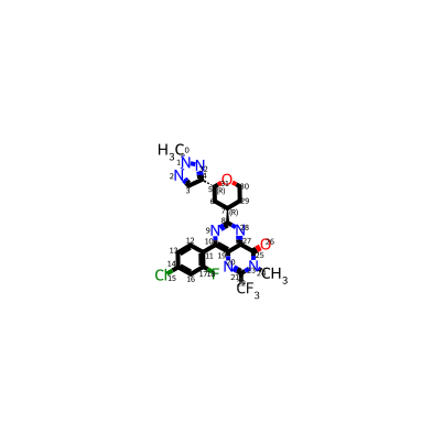 Cn1ncc([C@H]2C[C@H](c3nc(-c4ccc(Cl)cc4F)c4nc(C(F)(F)F)n(C)c(=O)c4n3)CCO2)n1